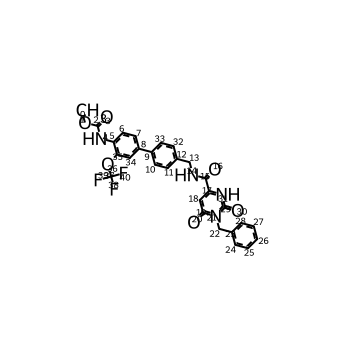 COC(=O)Nc1ccc(-c2ccc(CNC(=O)c3cc(=O)n(Cc4ccccc4)c(=O)[nH]3)cc2)cc1OC(F)(F)F